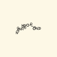 CN1CCN(C(=O)NCCOC(=O)Nc2ccc(C(=O)/C=C/c3cccc(N4CCOCC4)n3)cc2)CC1